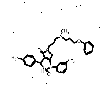 CN(CCCOc1ccccc1)CCCN1CC2=C(C1=O)C(c1ccc(N)cc1)NC(=O)N2c1cccc(C(F)(F)F)c1